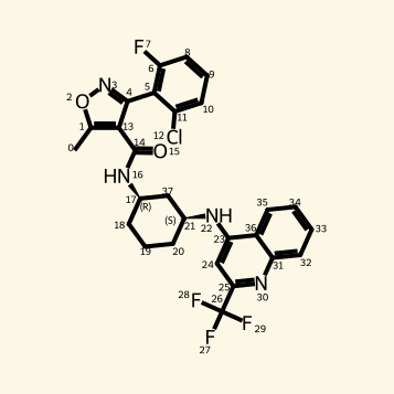 Cc1onc(-c2c(F)cccc2Cl)c1C(=O)N[C@@H]1CCC[C@H](Nc2cc(C(F)(F)F)nc3ccccc23)C1